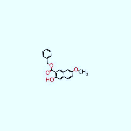 COc1ccc2cc(O)c(C(=O)OCc3ccccc3)cc2c1